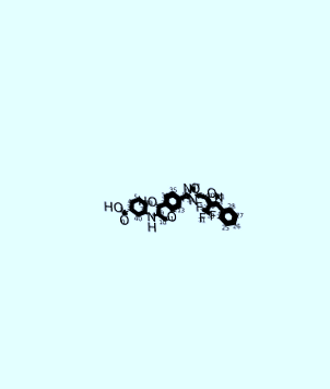 O=C(O)[C@@H]1CCC[C@@H](N[C@@H]2COc3cc(-c4noc(-c5onc(-c6ccccc6)c5C(F)(F)F)n4)ccc3[C@H]2O)C1